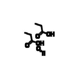 CCC(=O)O.CCC(=O)O.[O]=[Ti]